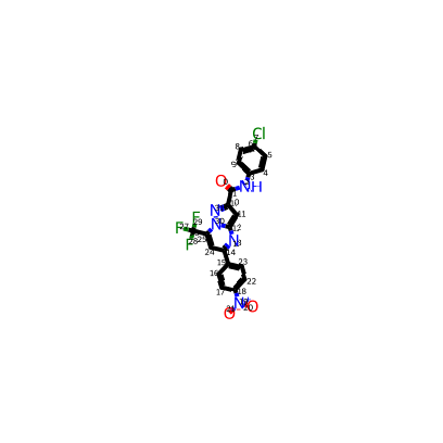 O=C(Nc1ccc(Cl)cc1)c1cc2nc(-c3ccc([N+](=O)[O-])cc3)cc(C(F)(F)F)n2n1